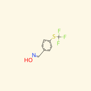 O/N=C/c1ccc(SC(F)(F)F)cc1